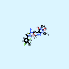 Cn1nc2c(c1CC(=O)Nc1nc(-c3ccc(F)c(C(F)(F)F)c3F)cs1)c(=O)n(C)c(=O)n2C